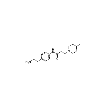 NCCc1ccc(NC(=O)CCN2CCC(F)CC2)cc1